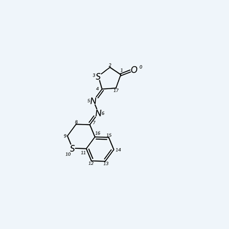 O=C1CSC(=NN=C2CCSc3ccccc32)C1